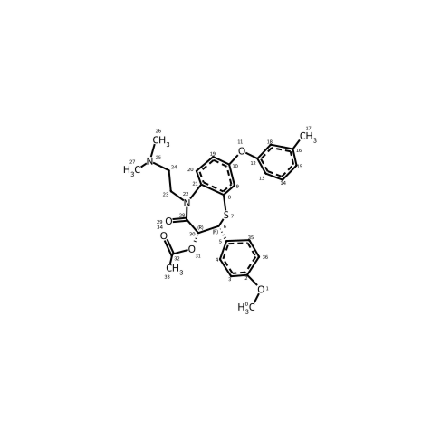 COc1ccc([C@H]2Sc3cc(Oc4cccc(C)c4)ccc3N(CCN(C)C)C(=O)[C@H]2OC(C)=O)cc1